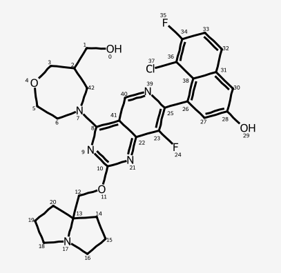 OCC1COCCN(c2nc(OCC34CCCN3CCC4)nc3c(F)c(-c4cc(O)cc5ccc(F)c(Cl)c45)ncc23)C1